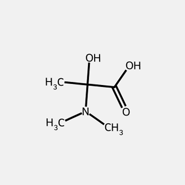 CN(C)C(C)(O)C(=O)O